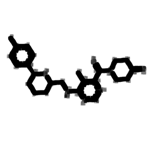 Cc1ccc([C@@H]2CCCC(CNc3ncnc(C(=O)N4CCC(=O)CC4)c3C)O2)cc1